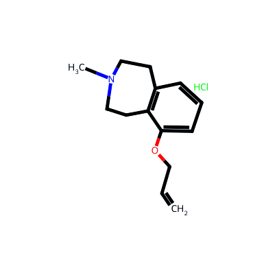 C=CCOc1cccc2c1CCN(C)CC2.Cl